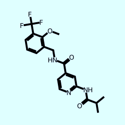 COc1c(CNC(=O)c2ccnc(NC(=O)C(C)C)c2)cccc1C(F)(F)F